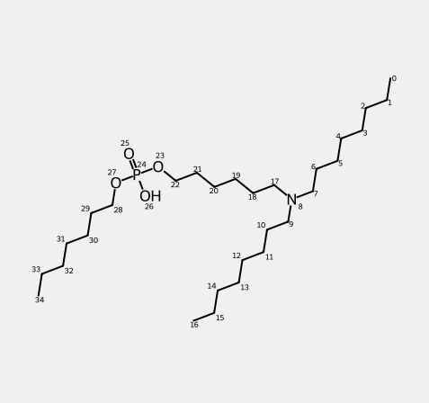 CCCCCCCCN(CCCCCCCC)CCCCCCOP(=O)(O)OCCCCCCC